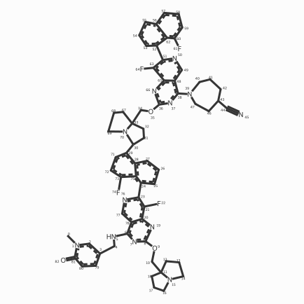 Cn1cc(CNc2nc(OCC34CCCN3CCC4)nc3c(F)c(-c4cccc5c(C6CCC7(COc8nc(N9CCCC(C#N)CC9)c9cnc(-c%10cccc%11cccc(F)c%10%11)c(F)c9n8)CCCN67)ccc(F)c45)ncc23)ccc1=O